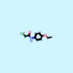 CCOc1ccc(NC(=O)CCl)cc1